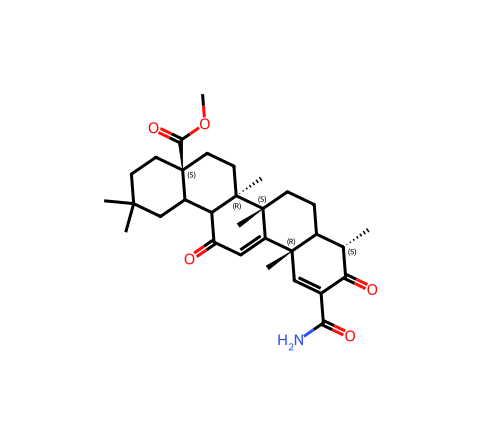 COC(=O)[C@]12CCC(C)(C)CC1C1C(=O)C=C3[C@@]4(C)C=C(C(N)=O)C(=O)[C@@H](C)C4CC[C@@]3(C)[C@]1(C)CC2